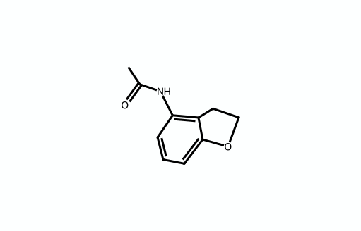 CC(=O)Nc1cccc2c1CCO2